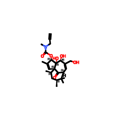 C#CCN(C)C(=O)O[C@H]1C(C)=C[C@]23C(=O)[C@@H](C=C(CO)[C@@H](O)[C@]12O)C(C)(C)[C@@H](C)C[C@H]3C